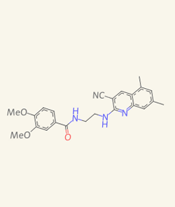 COc1ccc(C(=O)NCCNc2nc3cc(C)cc(C)c3cc2C#N)cc1OC